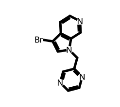 Brc1cn(Cc2cnccn2)c2cnccc12